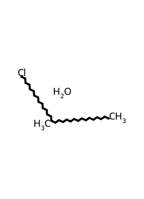 CCCCCCCCCCCCCCCCC(C)CCCCCCCCCCCCCCCl.O